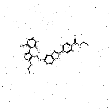 CCCc1onc(-c2c(Cl)cccc2Cl)c1COc1ccc2sc(-c3ccc(C(=O)OCC)cc3)cc2c1